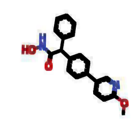 COc1ccc(-c2ccc(C(C(=O)NO)c3ccccc3)cc2)cn1